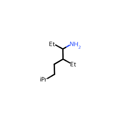 CCC(N)C(CC)CCC(C)C